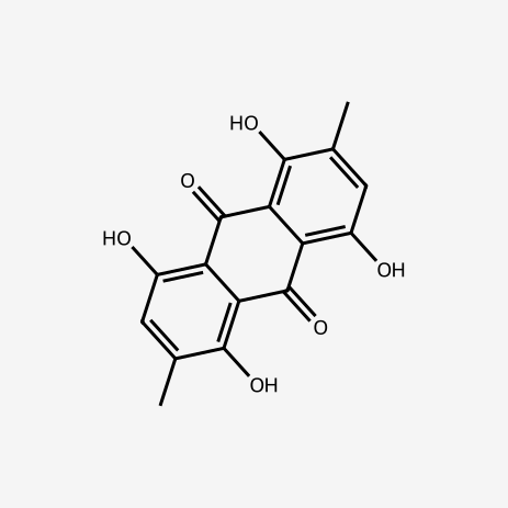 Cc1cc(O)c2c(c1O)C(=O)c1c(O)cc(C)c(O)c1C2=O